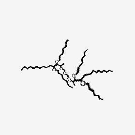 CCCCCCCCCCC(OCCCCCCC)=C(OCCCCCCC)C(C)OCOCOC(C)C(OCCCCCCC)=C(CCCCCCCCCC)OCCCCCCC